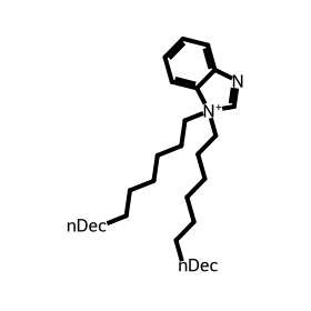 CCCCCCCCCCCCCCCC[N+]1(CCCCCCCCCCCCCCCC)C=Nc2ccccc21